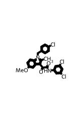 COc1ccc2c(c1)c(C(=O)C(=O)Nc1cc(Cl)cc(Cl)c1)c(C)n2Cc1ccc(Cl)cc1